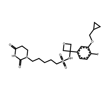 O=C1CCN(CCCCCS(=O)(=O)NC2(c3ccc(F)c(OCC4CC4)c3)COC2)C(=O)N1